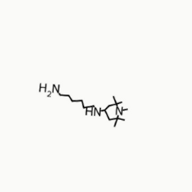 CN1C(C)(C)CC(NCCCCCCN)CC1(C)C